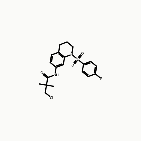 CC(C)(CCl)C(=O)Nc1ccc2c(c1)N(S(=O)(=O)c1ccc(F)cc1)CCC2